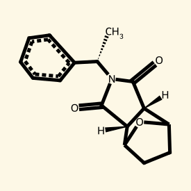 C[C@@H](c1ccccc1)N1C(=O)[C@@H]2C3CCC(O3)[C@@H]2C1=O